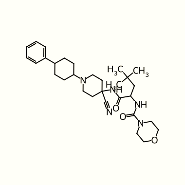 CC(C)(C)CC(NC(=O)N1CCOCC1)C(=O)NC1(C#N)CCN(C2CCC(c3ccccc3)CC2)CC1